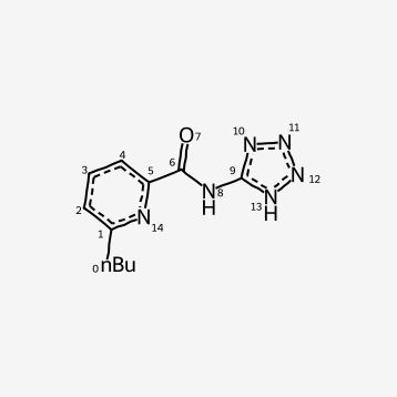 CCCCc1cccc(C(=O)Nc2nnn[nH]2)n1